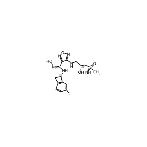 CS(=N)(=O)C[C@H](O)CNc1nonc1/C(=N\O)N[C@H]1Cc2ccc(F)cc21